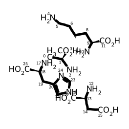 C[C@H](N)C(=O)O.NCCCC[C@H](N)C(=O)O.N[C@@H](CC(=O)O)C(=O)O.N[C@@H](Cc1c[nH]cn1)C(=O)O